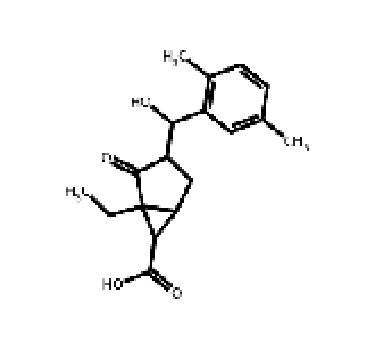 CCC12C(=O)C(C(O)c3cc(C)ccc3C)CC1C2C(=O)O